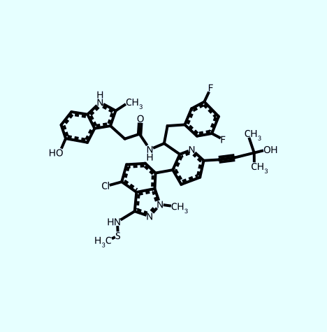 CSNc1nn(C)c2c(-c3ccc(C#CC(C)(C)O)nc3C(Cc3cc(F)cc(F)c3)NC(=O)Cc3c(C)[nH]c4ccc(O)cc34)ccc(Cl)c12